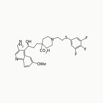 COc1ccc2ncc(CN)c([C@@H](O)CCC3(C(=O)O)CCN(CCSc4cc(F)c(F)c(F)c4)CC3)c2c1